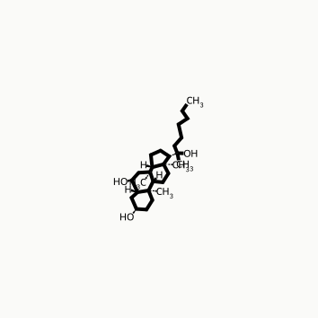 CCCCCCC(C)(O)[C@H]1CC[C@H]2[C@]3(C)C[C@H](O)[C@H]4C[C@@H](O)CC[C@]4(C)[C@H]3CC[C@@]21C